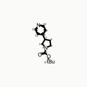 CC(C)(C)OC(=O)N1CCC(c2ccncc2)C1